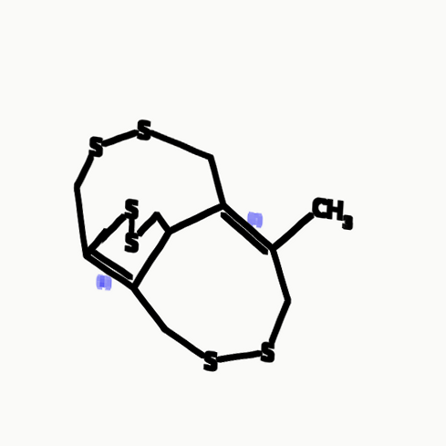 C/C1=C2\CSSC/C3=C(/CSSC1)C2CSSCC3